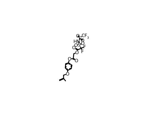 C=C(C)COc1ccc(OC(=O)COC(=O)C(F)(F)S(=O)(=O)NS(=O)(=O)C(F)(F)F)cc1